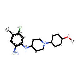 CCOC1CCC(N2CCC(Nc3cc(Cl)c(C(F)(F)F)cc3N)CC2)CC1